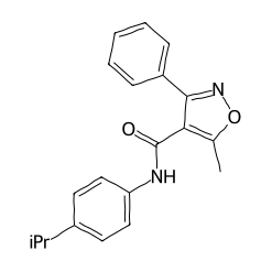 Cc1onc(-c2ccccc2)c1C(=O)Nc1ccc(C(C)C)cc1